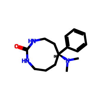 CN(C)[C@@]1(c2ccccc2)CCCNC(=O)NCC1